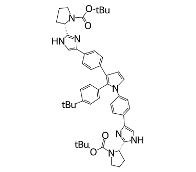 CC(C)(C)OC(=O)N1CCC[C@H]1c1nc(-c2ccc(-c3ccn(-c4ccc(-c5c[nH]c([C@@H]6CCCN6C(=O)OC(C)(C)C)n5)cc4)c3-c3ccc(C(C)(C)C)cc3)cc2)c[nH]1